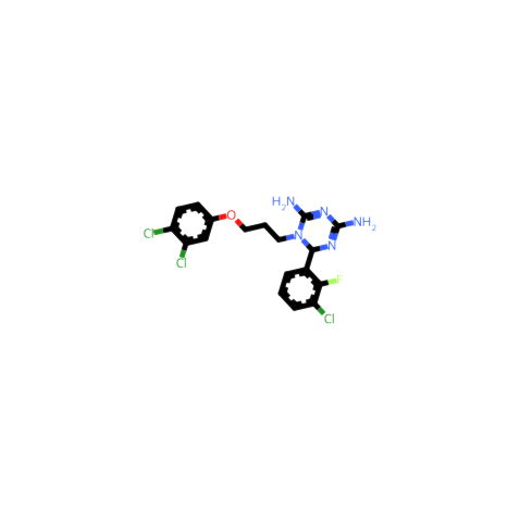 NC1=NC(c2cccc(Cl)c2F)N(CCCOc2ccc(Cl)c(Cl)c2)C(N)=N1